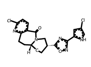 O=C1c2ccc(Cl)nc2CC[C@H]2CC[C@@H](c3nc(-c4cc(Cl)c[nH]4)no3)CN12